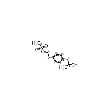 CC(C)Cc1ccc(CCOS(C)(=O)=O)cc1